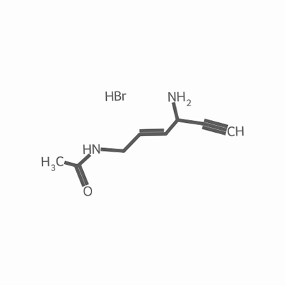 Br.C#CC(N)C=CCNC(C)=O